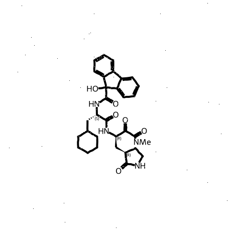 CNC(=O)C(=O)[C@@H](C[C@H]1CCNC1=O)NC(=O)[C@H](CC1CCCCC1)NC(=O)C1(O)c2ccccc2-c2ccccc21